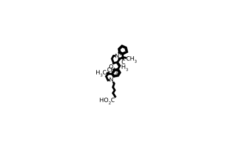 CC1(C)CCN(CCCCCC(=O)O)c2ccc3c(c21)OC1CC[N+]2=C(C1=C3)C(C)(C)c1ccccc12